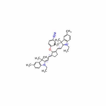 CCN1/C(=C/C=C2\CCC(/C=C/C3=[N+](CC)c4ccc(C)cc4C3(C)C)=C2Oc2ccc([N+]#N)cc2)C(C)(C)c2cc(C)ccc21